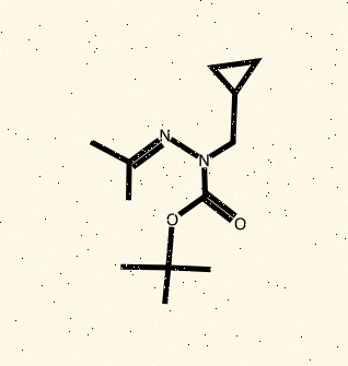 CC(C)=NN(CC1CC1)C(=O)OC(C)(C)C